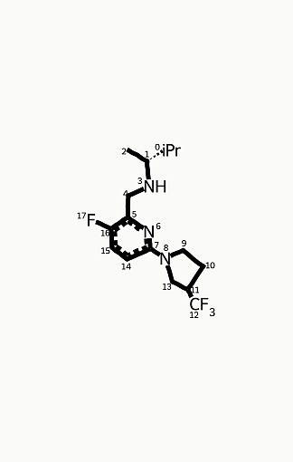 CC(C)[C@@H](C)NCc1nc(N2CCC(C(F)(F)F)C2)ccc1F